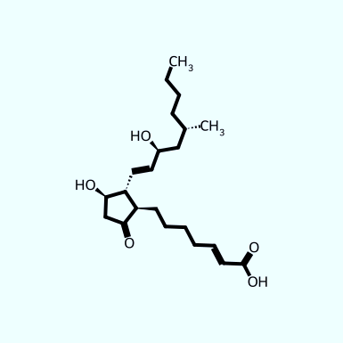 CCCC[C@H](C)C[C@H](O)/C=C/[C@H]1[C@H](O)CC(=O)[C@@H]1CCCC/C=C/C(=O)O